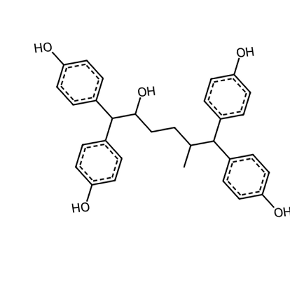 CC(CCC(O)C(c1ccc(O)cc1)c1ccc(O)cc1)C(c1ccc(O)cc1)c1ccc(O)cc1